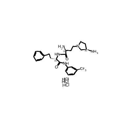 Cl.Cl.Cl.N[C@@H]1CCN(CC[C@H](N)C(=O)N[C@@H](CCc2ccccc2)C(=O)Nc2cccc(C(F)(F)F)c2)C1